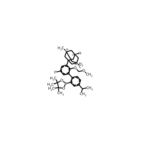 COCOc1c(-c2ccc(C(C)C)cc2B2OC(C)(C)C(C)(C)O2)cc(F)cc1C12C[C@@H]3C[C@@](C)(C1)C[C@](C)(C3)C2